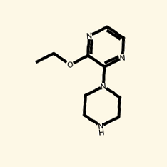 CCOc1nccnc1N1CCNCC1